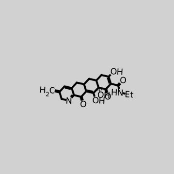 C=C1C=C2CC3CC4CC(O)=C(C(=O)NCC)C(=O)[C@@]4(O)C(O)=C3C(=O)C2=NC1